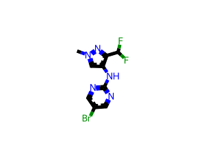 Cn1cc(Nc2ncc(Br)cn2)c(C(F)F)n1